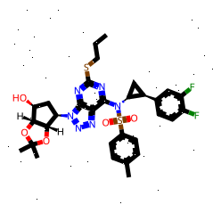 CCCSc1nc(N([C@@H]2C[C@H]2c2ccc(F)c(F)c2)S(=O)(=O)c2ccc(C)cc2)c2nnn([C@@H]3C[C@H](O)[C@H]4OC(C)(C)O[C@H]43)c2n1